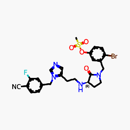 CS(=O)(=O)Oc1ccc(Br)c(CN2CC[C@@H](NCCc3cncn3Cc3ccc(C#N)c(F)c3)C2=O)c1